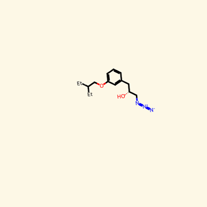 CCC(CC)COc1cccc(C[C@@H](O)CN=[N+]=[N-])c1